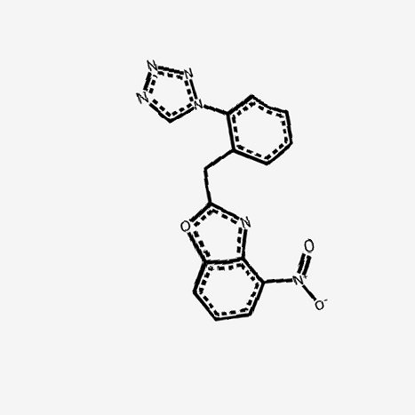 O=[N+]([O-])c1cccc2oc(Cc3ccccc3-n3cnnn3)nc12